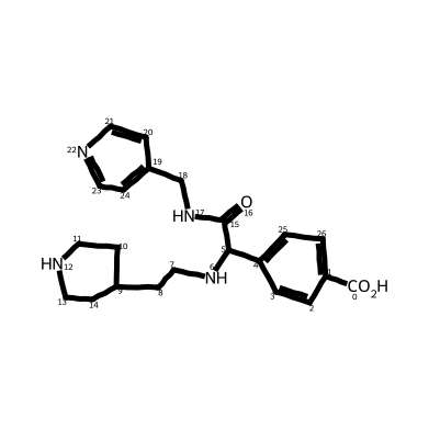 O=C(O)c1ccc(C(NCCC2CCNCC2)C(=O)NCc2ccncc2)cc1